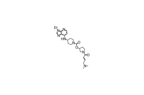 CCn1cnc2c(NC3CCN(C(=O)O[C@H]4CCN(C(=O)/C=C/CN(C)C)C4)CC3)ccnc21